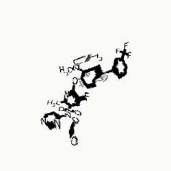 Cc1nc(O[C@H]2CC[C@H](c3cccc(C(F)(F)F)c3)C[C@@H]2N(C)C)c(F)cc1S(=O)(=O)N(OC=O)c1ccncn1